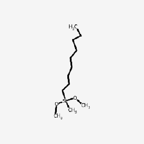 CCCCCCCCC[Si](C)(OC)OC